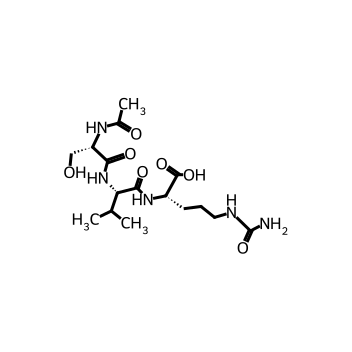 CC(=O)N[C@@H](CO)C(=O)N[C@H](C(=O)N[C@@H](CCCNC(N)=O)C(=O)O)C(C)C